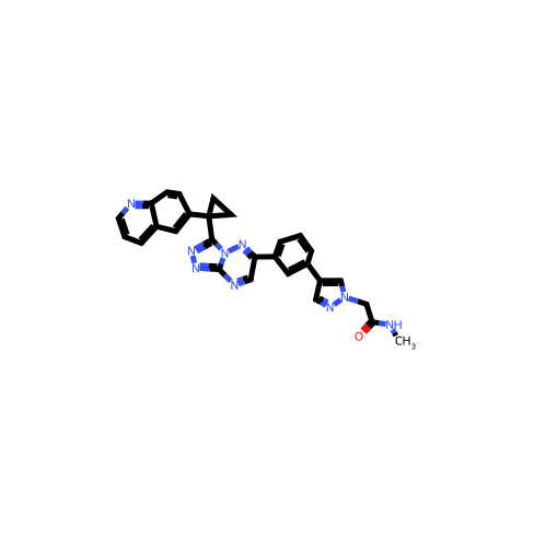 CNC(=O)Cn1cc(-c2cccc(-c3cnc4nnc(C5(c6ccc7ncccc7c6)CC5)n4n3)c2)cn1